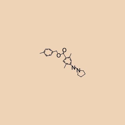 Cc1ccc(COC(=O)c2cc(C)c(/N=C/N3CCCC3)cc2C)cc1